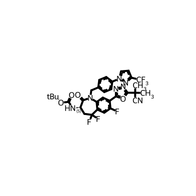 CC(C)(C)OC(=O)N[C@H]1CC(F)(F)c2cc(F)c(-c3nnc(C(C)(C)C#N)o3)cc2N(Cc2ccc(-n3ccc(C(F)(F)F)n3)cc2)C1=O